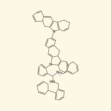 C1=CCCC(/C=N/C(NCc2ccccc2C2C=CC=CC2)c2ccccc2N2C3=Cc4ccc(-n5c6c(c7c5CC5C=CC=CC5=C7)CCC=C6)cc4CC3C3=C2CCC=C3)=C1